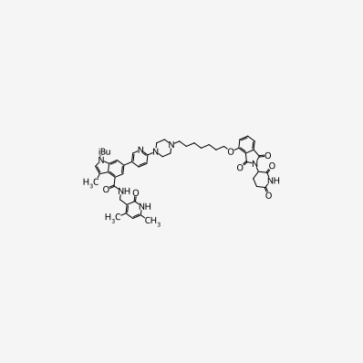 CC[C@H](C)n1cc(C)c2c(C(=O)NCc3c(C)cc(C)[nH]c3=O)cc(-c3ccc(N4CCN(CCCCCCCOc5cccc6c5C(=O)N(C5CCC(=O)NC5=O)C6=O)CC4)nc3)cc21